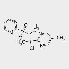 Cc1cnc(C(C)(Cl)C(C)S(=O)(=O)c2ncccn2)nc1